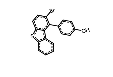 Oc1ccc(-c2c(Br)ccc3sc4ccccc4c23)cc1